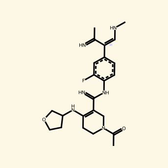 CN/C=C(\C(C)=N)c1ccc(NC(=N)C2=C(NC3CCOC3)CCN(C(C)=O)C2)c(F)c1